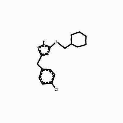 Clc1ccc(Cc2n[nH]c(SCC3CCCCC3)n2)cc1